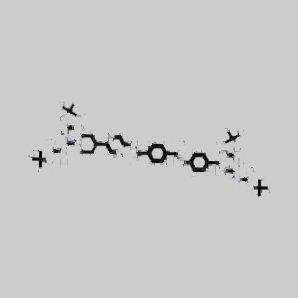 CC(C)(C)OC(=O)/N=C(/NCc1ccc(NC(=O)c2ccc(C(=O)Nc3cnc(C4=CCN(/C(=N\C(=O)OC(C)(C)C)NC(=O)OC(C)(C)C)CC4)cn3)cc2)cc1)NC(=O)OC(C)(C)C